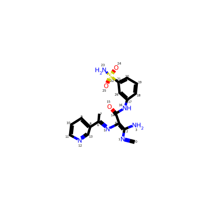 C=N/C(N)=C(\N=C(/C)c1cccnc1)C(=O)Nc1cccc(S(N)(=O)=O)c1